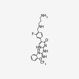 N=C(Nc1nc(=O)c(-c2ccc(CNCCCN)c(F)c2)c[nH]1)Nc1ccccc1OC(F)(F)F